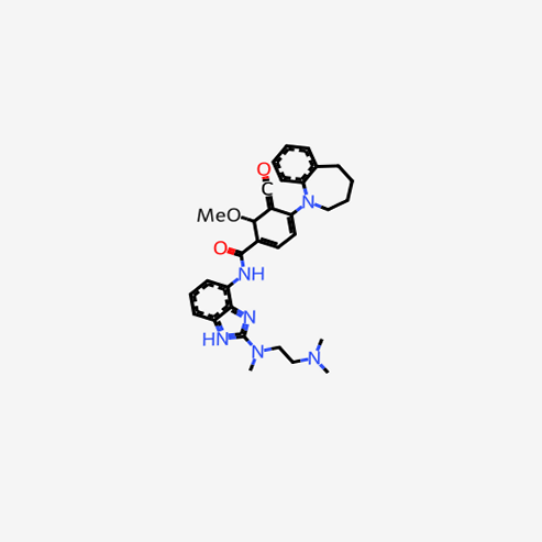 COC1C(=C=O)C(N2CCCCc3ccccc32)=CC=C1C(=O)Nc1cccc2[nH]c(N(C)CCN(C)C)nc12